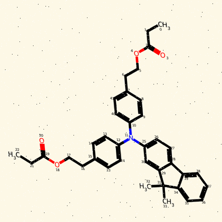 CCC(=O)OCCc1ccc(N(c2ccc(CCOC(=O)CC)cc2)c2ccc3c(c2)C(C)(C)c2ccccc2-3)cc1